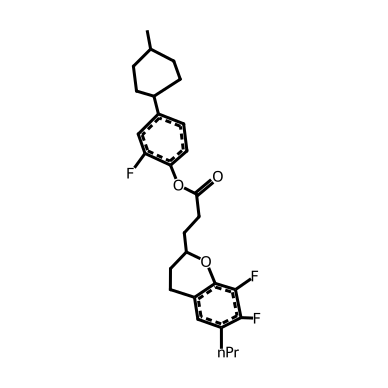 CCCc1cc2c(c(F)c1F)OC(CCC(=O)Oc1ccc(C3CCC(C)CC3)cc1F)CC2